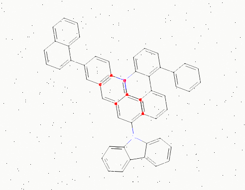 c1ccc(-c2ccccc2-c2c(-c3ccccc3)cccc2N(c2ccc(-c3cccc4ccccc34)cc2)c2ccc(-n3c4ccccc4c4ccccc43)cc2)cc1